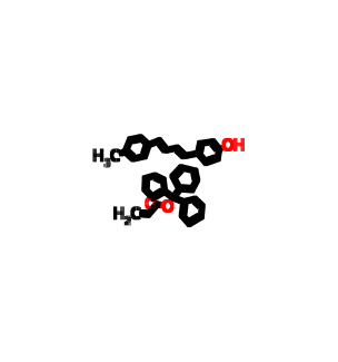 C=CC(=O)OC(c1ccccc1)(c1ccccc1)c1ccccc1.Cc1ccc(C=CC=Cc2ccc(O)cc2)cc1